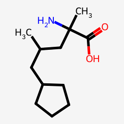 CC(CC1CCCC1)CC(C)(N)C(=O)O